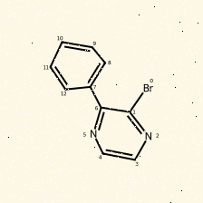 Brc1nccnc1-c1ccccc1